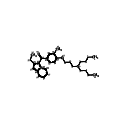 CCCCN(CCCC)CCCOc1ccc(C(=O)c2c(CC)cc3ccccn23)cc1C